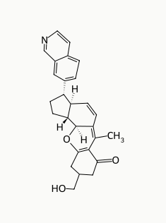 CC1=C2C=C[C@H]3[C@@H](CC[C@@H]3c3ccc4ccncc4c3)[C@@H]2OC2=C1C(=O)CC(CO)C2